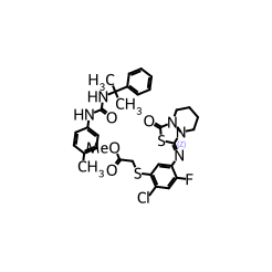 COC(=O)CSc1cc(/N=c2\sc(=O)n3n2CCCC3)c(F)cc1Cl.Cc1ccc(NC(=O)NC(C)(C)c2ccccc2)cc1